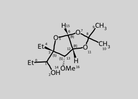 CCC(O)[C@]1(CC)O[C@@H]2OC(C)(C)O[C@@H]2[C@@H]1OC